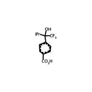 CC(C)C(O)(c1ccc(C(=O)O)cc1)C(F)(F)F